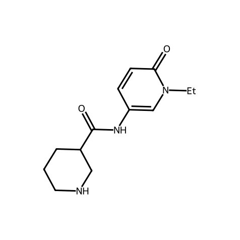 CCn1cc(NC(=O)C2CCCNC2)ccc1=O